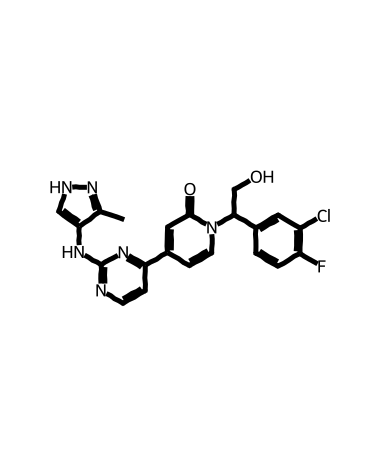 Cc1n[nH]cc1Nc1nccc(-c2ccn(C(CO)c3ccc(F)c(Cl)c3)c(=O)c2)n1